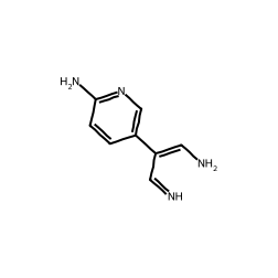 N=C/C(=C\N)c1ccc(N)nc1